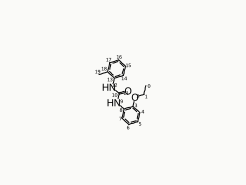 CCOc1ccccc1NC(=O)Nc1ccccc1C